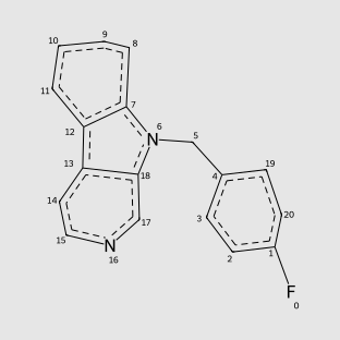 Fc1ccc(Cn2c3ccccc3c3ccncc32)cc1